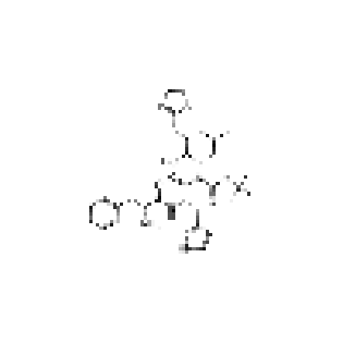 CC(C)C[C@@H](C(O)CSC1=NCCS1)N(C(=O)OC(C)(C)C)C(=O)[C@H](Cc1c[nH]cn1)NC(=O)[C@@H](N)Cc1ccccc1